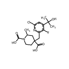 CC1CC(Cc2nc(Cl)cc(C(C)(C)O)c2F)(C(=O)O)CCN1C(=O)O